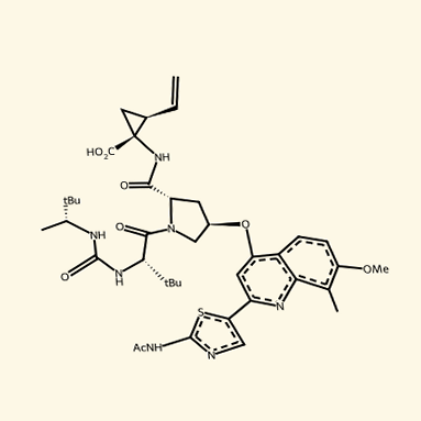 C=C[C@@H]1C[C@]1(NC(=O)[C@@H]1C[C@@H](Oc2cc(-c3cnc(NC(C)=O)s3)nc3c(C)c(OC)ccc23)CN1C(=O)[C@@H](NC(=O)N[C@H](C)C(C)(C)C)C(C)(C)C)C(=O)O